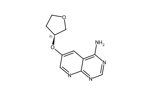 Nc1ncnc2ncc(O[C@H]3CCOC3)cc12